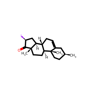 C[C@H]1CC[C@@]2(C)C(=CC[C@@H]3[C@@H]2CC[C@]2(C)C(=O)[C@@H](I)C[C@@H]32)C1